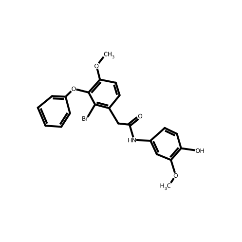 COc1cc(NC(=O)Cc2ccc(OC)c(Oc3ccccc3)c2Br)ccc1O